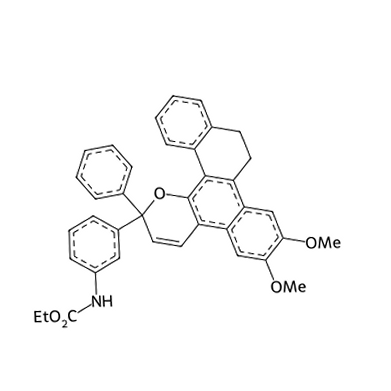 CCOC(=O)Nc1cccc(C2(c3ccccc3)C=Cc3c(c4c(c5cc(OC)c(OC)cc35)CCc3ccccc3-4)O2)c1